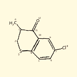 CC1CSc2ccc(Cl)cc2C1=O